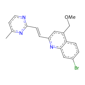 COCc1cc(/C=C/c2nccc(C)n2)nc2cc(Br)ccc12